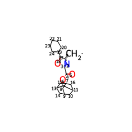 [CH2][C@H](N=CC(=O)OC12CC3CC(CC(C3)C1)C2)C(=O)C1CCCCC1